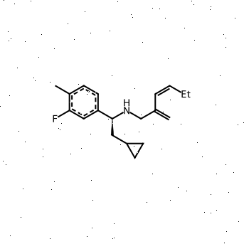 C=C(/C=C\CC)CN[C@@H](CC1CC1)c1ccc(C)c(F)c1